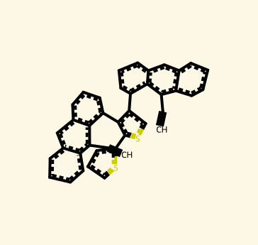 C#Cc1c2ccccc2cc2cccc(-c3csc(-c4cccs4)c3-c3cccc4cc5ccccc5c(C#C)c34)c12